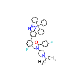 CC(C)N1CCC(N(Cc2cc(-c3ccc4c(c3)nnn4C(c3ccccc3)(c3ccccc3)c3ccccc3)ccc2F)C(=O)c2ccc(F)cc2)CC1